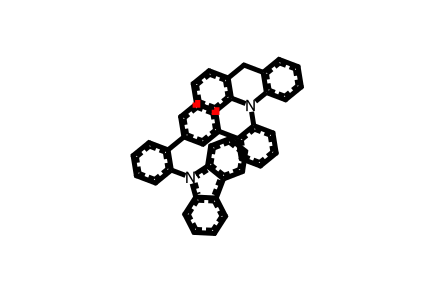 c1cc(-c2ccccc2N2c3ccccc3Cc3ccccc32)cc(-c2ccccc2-n2c3ccccc3c3ccccc32)c1